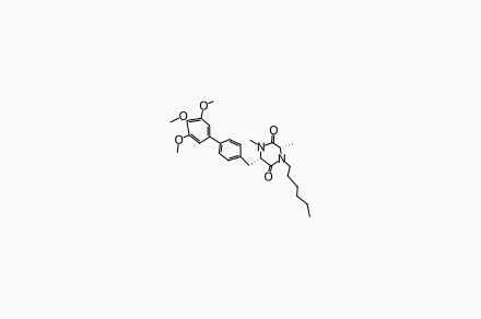 CCCCCCN1C(=O)[C@H](Cc2ccc(-c3cc(OC)c(OC)c(OC)c3)cc2)N(C)C(=O)[C@@H]1C